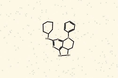 c1ccc(N2CCC3NNc4nc(NC5CCCCC5)nc2c43)cc1